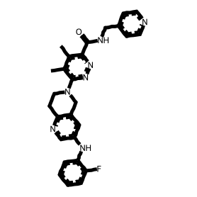 Cc1c(C(=O)NCc2ccncc2)nnc(N2CCc3ncc(Nc4ccccc4F)cc3C2)c1C